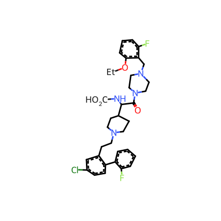 CCOc1cccc(F)c1CN1CCN(C(=O)C(NC(=O)O)C2CCN(CCc3cc(Cl)ccc3-c3ccccc3F)CC2)CC1